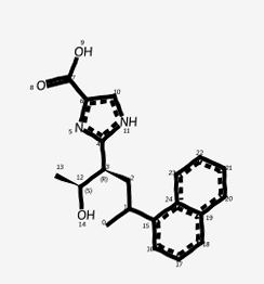 CC(C[C@H](c1nc(C(=O)O)c[nH]1)[C@H](C)O)c1cccc2ccccc12